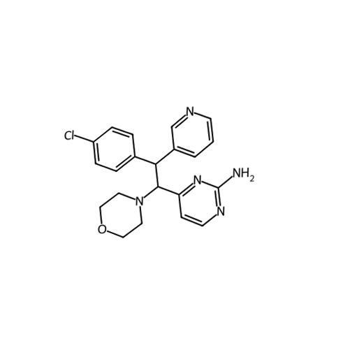 Nc1nccc(C(C(c2ccc(Cl)cc2)c2cccnc2)N2CCOCC2)n1